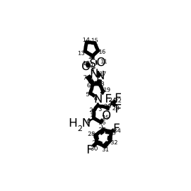 N[C@H]1C[C@@H](N2Cc3cn(S(=O)(=O)C4CCCC4)nc3C2)[C@H](C(F)(F)F)O[C@@H]1c1cc(F)ccc1F